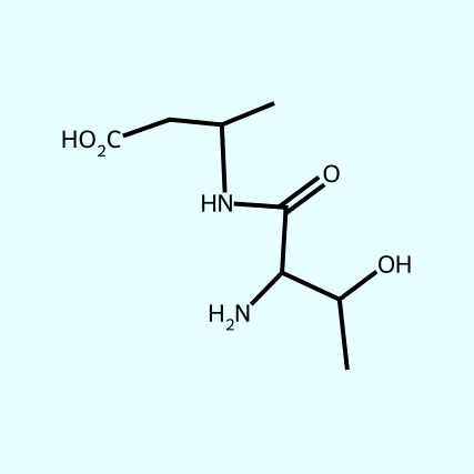 CC(CC(=O)O)NC(=O)C(N)C(C)O